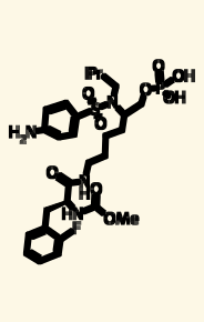 COC(=O)N[C@@H](Cc1ccccc1F)C(=O)NCCCCC(COP(=O)(O)O)N(CC(C)C)S(=O)(=O)c1ccc(N)cc1